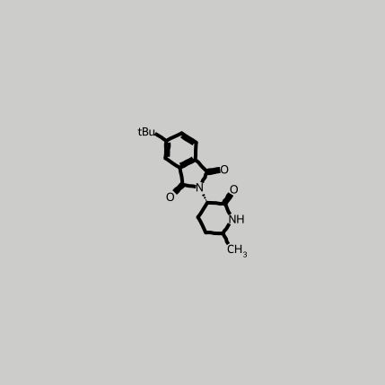 CC1CC[C@H](N2C(=O)c3ccc(C(C)(C)C)cc3C2=O)C(=O)N1